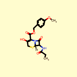 CCC(=O)NC1C(=O)N2C(C(=O)OCc3ccc(OC)cc3)=C(O)CS[C@@H]12